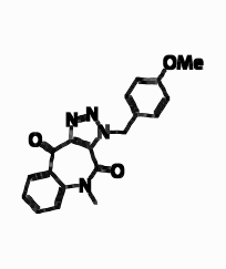 COc1ccc(Cn2nnc3c(=O)c4ccccc4n(C)c(=O)c32)cc1